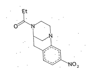 CCC(=O)N1CCN2CC1Cc1ccc([N+](=O)[O-])cc12